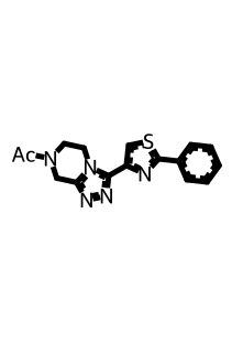 CC(=O)N1CCn2c(nnc2-c2csc(-c3ccccc3)n2)C1